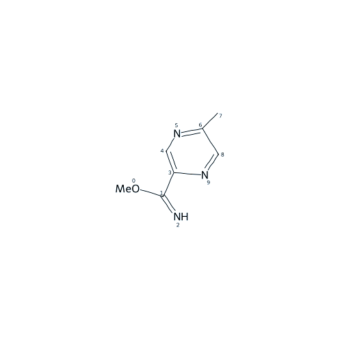 COC(=N)c1cnc(C)cn1